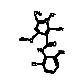 CCCCOc1cc(C)[n+]([O-])c(CCC)c1C(=O)Nc1c(CC)cccc1CC